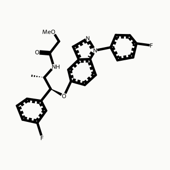 COCC(=O)N[C@@H](C)[C@@H](Oc1ccc2c(cnn2-c2ccc(F)cc2)c1)c1cccc(F)c1